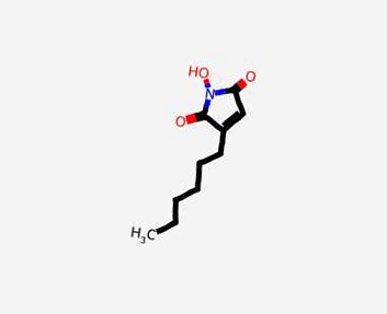 CCCCCCC1=CC(=O)N(O)C1=O